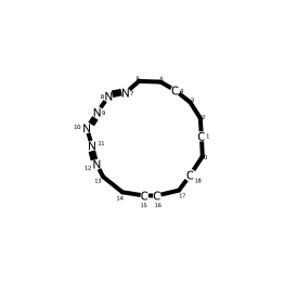 C1CCCCCC/N=N/N=N/N=N/CCCCCC1